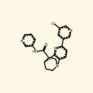 O=C(Nc1cccnc1)N1c2nc(-c3cncc(Cl)c3)ccc2N2CCC1CC2